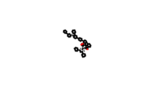 c1ccc(-c2cccc(-n3c4ccccc4c4cc(-c5ccc(-c6ccc7c(c6)C6(c8ccccc8-7)c7ccccc7N(c7nc(-c8ccccc8)cc(-c8ccccc8)n7)c7ccccc76)cc5)ccc43)c2)cc1